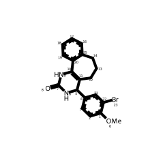 COc1ccc(C2NC(=O)NC3=C2CCCc2ccccc23)cc1Br